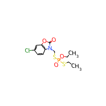 CCOP(=O)(SCC)SCn1c(=O)oc2cc(Cl)ccc21